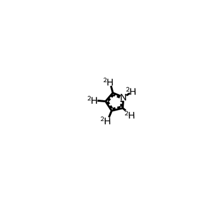 [2H]c1c([2H])c([2H])n([2H])c1[2H]